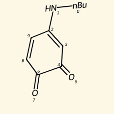 CCCCNC1=CC(=O)C(=O)C=C1